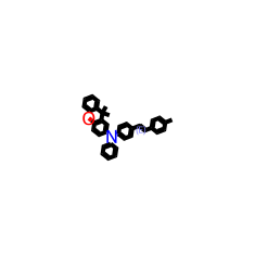 Cc1ccc(/C=C/c2ccc(N(c3ccccc3)c3ccc4c(c3)C(C)(C)c3ccccc3O4)cc2)cc1